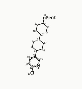 CCCCC[C@H]1CC[C@H]([C@H]2CC[C@H](c3ccc(Cl)nc3)CC2)CC1